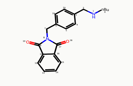 [CH2]CCCNCc1ccc(CN2C(=O)c3ccccc3C2=O)cc1